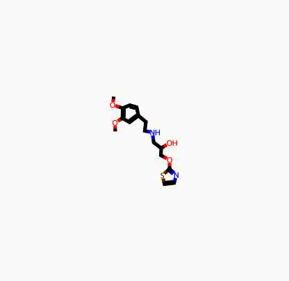 COc1ccc(CCNCC(O)COc2nccs2)cc1OC